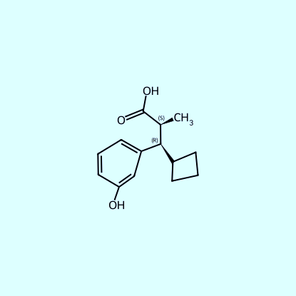 C[C@H](C(=O)O)[C@H](c1cccc(O)c1)C1CCC1